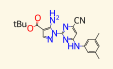 Cc1cc(C)cc(Nc2cc(C#N)nc(-n3ncc(C(=O)OC(C)(C)C)c3N)n2)c1